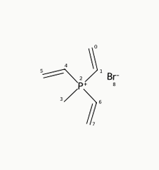 C=C[P+](C)(C=C)C=C.[Br-]